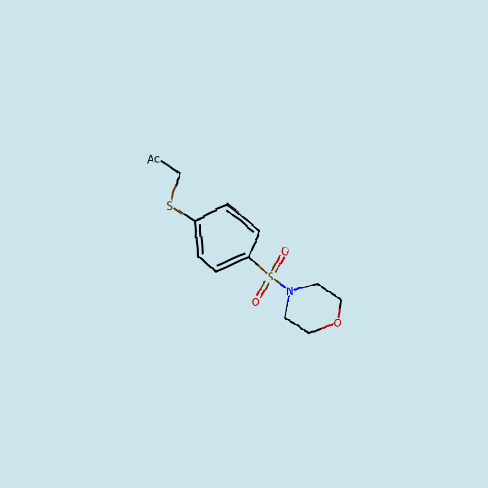 CC(=O)CSc1ccc(S(=O)(=O)N2CCOCC2)cc1